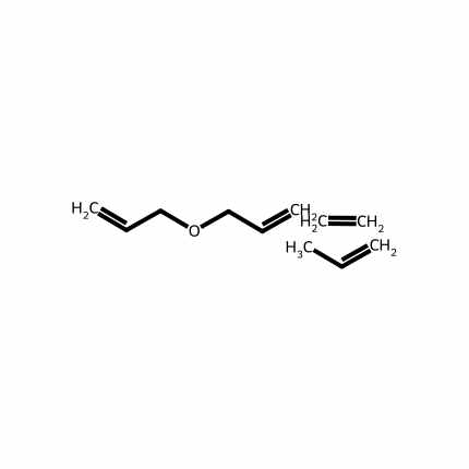 C=C.C=CC.C=CCOCC=C